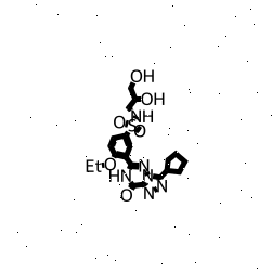 CCOc1ccc(S(=O)(=O)NCC(O)CO)cc1-c1nn2c(C3CCCC3)nnc2c(=O)[nH]1